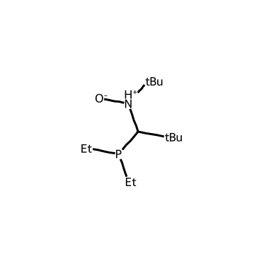 CCP(CC)C([NH+]([O-])C(C)(C)C)C(C)(C)C